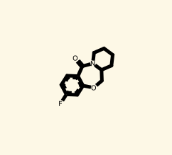 O=C1c2ccc(F)cc2OCC2CCCCN12